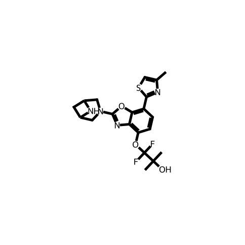 Cc1csc(-c2ccc(OC(F)(F)C(C)(C)O)c3nc(N4CC5CC(C4)N5)oc23)n1